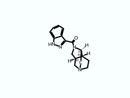 O=C(c1n[nH]c2ccccc12)N1C[C@H]2CN3CC[C@H]2[C@H]1C3